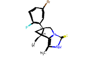 Cc1[nH]c(=S)n2c1[C@@H]1C[C@]1(c1cc(Br)ccc1F)C2